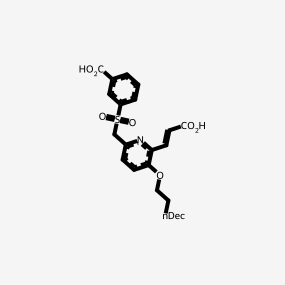 CCCCCCCCCCCCOc1ccc(CS(=O)(=O)c2cccc(C(=O)O)c2)nc1C=CC(=O)O